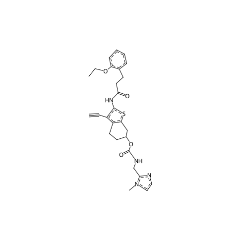 C#Cc1c(NC(=O)CCc2ccccc2OCC)sc2c1CCC(OC(=O)NCc1nccn1C)C2